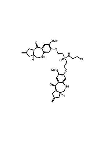 C=C1C[C@H]2CNc3cc(OCCP(=O)(CCOc4cc5c(cc4OC)C(=O)N4CC(=C)C[C@H]4CN5)NCCO)c(OC)cc3C(=O)N2C1